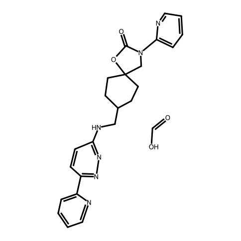 O=C1OC2(CCC(CNc3ccc(-c4ccccn4)nn3)CC2)CN1c1ccccn1.O=CO